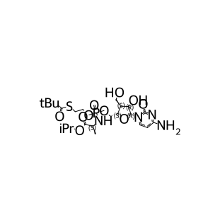 CC(C)OC(=O)[C@H](C)NP(=O)(OCCSC(=O)C(C)(C)C)OC[C@H]1O[C@@H](n2ccc(N)nc2=O)[C@H](O)[C@@H]1CO